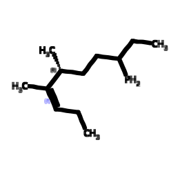 CC/C=C(/C)[C@H](C)CCC(P)CC